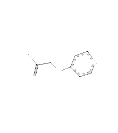 NC(=O)COc1ccncc1